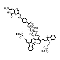 CC1(C)C(/C=C/C2=C(O[14c]3[14cH][14cH][14c]([14CH2][14C@H](NC(=O)c4ccc(NCc5cnc6nc(N)[nH]c(=O)c6n5)cc4)[14C](=O)O)[14cH][14cH]3)C(=C/C=C3/N(CCCCS(=O)(=O)O)c4ccccc4C3(C)C)/CCC2)=[N+](CCCS(=O)(=O)O)c2ccccc21